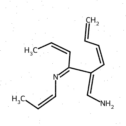 C=C\C=C/C(=C\N)C(/C=C\C)=N\C=C/C